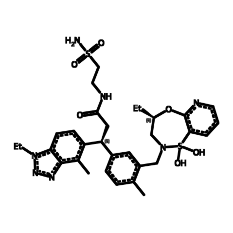 CC[C@@H]1CN(Cc2cc([C@H](CC(=O)NCCS(N)(=O)=O)c3ccc4c(nnn4CC)c3C)ccc2C)S(O)(O)c2cccnc2O1